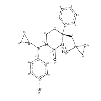 CC1(C[C@]2(c3ccccc3)CCN([C@H](c3ccc(Br)cc3)C3CC3)C(=O)O2)CO1